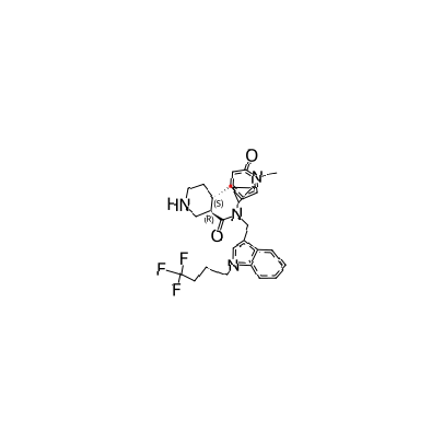 Cn1ccc([C@H]2CCNC[C@@H]2C(=O)N(Cc2cn(CCCC(F)(F)F)c3ccccc23)C2CC2)cc1=O